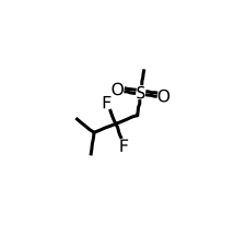 CC(C)C(F)(F)CS(C)(=O)=O